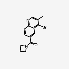 Cc1cnc2ccc(C(=O)N3CCC3)cc2c1Br